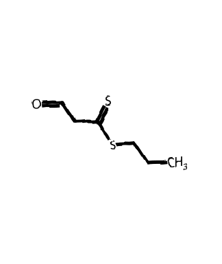 CCCSC(=S)CC=O